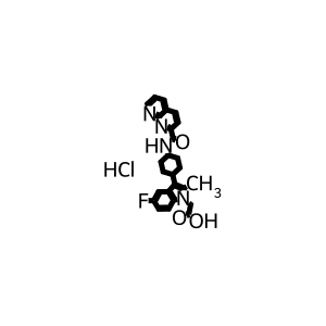 Cc1c(C2CCC(NC(=O)c3ccc4cccnc4n3)CC2)c2cc(F)ccc2n1CC(=O)O.Cl